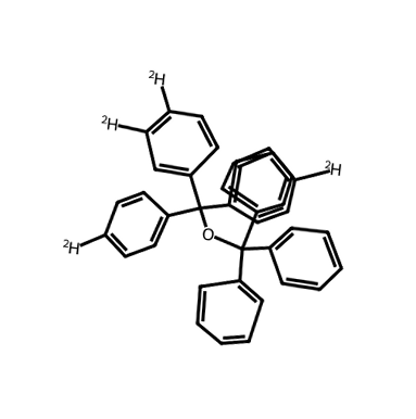 [2H]c1ccc(C(OC(c2ccccc2)(c2ccccc2)c2ccccc2)(c2ccc([2H])cc2)c2ccc([2H])c([2H])c2)cc1